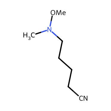 CON(C)CCCCC#N